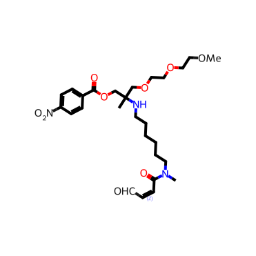 COCCOCCOCC(C)(COC(=O)c1ccc([N+](=O)[O-])cc1)NCCCCCCN(C)C(=O)/C=C\C=O